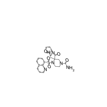 NC(=O)N1CCN(S(=O)(=O)c2cccc3cccnc23)C(Cc2ccco2)(C(N)=O)C1